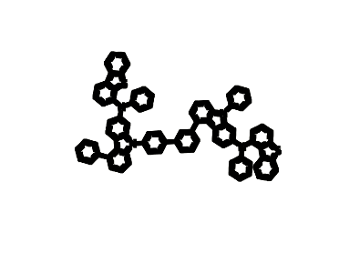 c1ccc(-c2cccc3c2c2ccc(N(c4ccccc4)c4cccc5c4sc4ccccc45)cc2n3-c2ccc(-c3cccc(-c4cccc5c4c4ccc(N(c6ccccc6)c6cccc7sc8ccccc8c67)cc4n5-c4ccccc4)c3)cc2)cc1